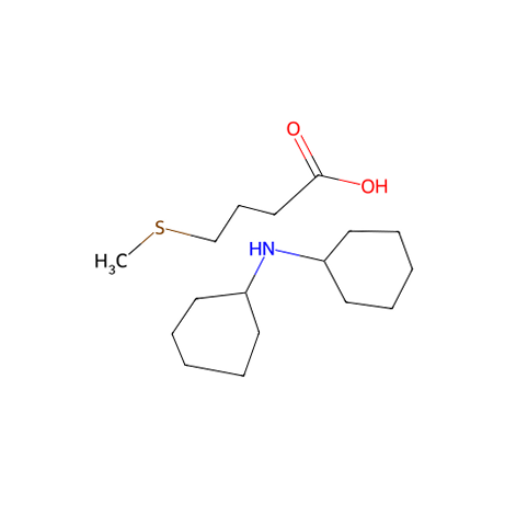 C1CCC(NC2CCCCC2)CC1.CSCCCC(=O)O